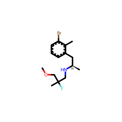 COCC(C)(F)CN[C@H](C)Cc1cccc(Br)c1C